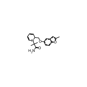 Cc1cc2cc(OCC3C=CC=CN3C(C)(C)C(N)=O)ccc2o1